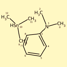 CN(C)c1ccccc1.[CH3][SnH]([CH3])[CH3]